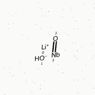 [Li+].[OH-].[O]=[Nb]